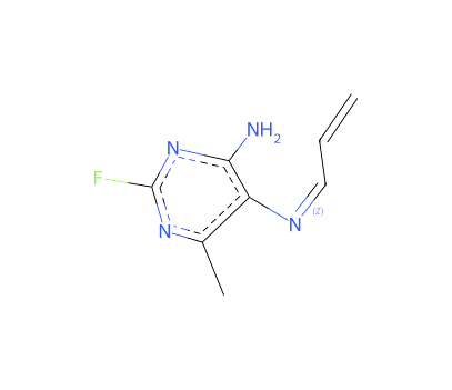 C=C/C=N\c1c(C)nc(F)nc1N